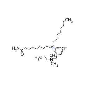 CCCCCCCC/C=C\CCCCCCCC(N)=O.CCC[N+](C)(C)Cc1ccccc1.[Cl-]